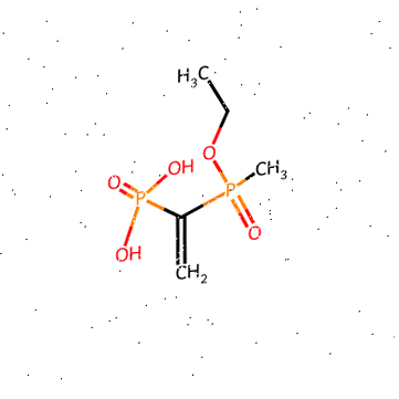 C=C(P(=O)(O)O)P(C)(=O)OCC